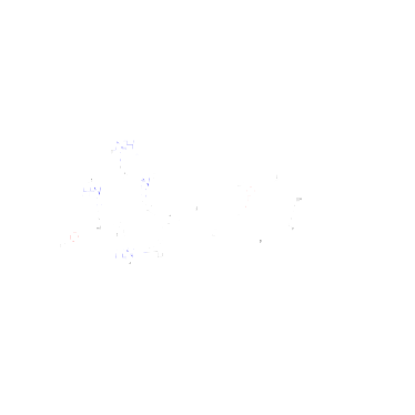 Nc1nc2c(CCC3CCCCO3)c[nH]c2c(=O)[nH]1